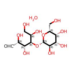 O.O=C[C@H](O)[C@@H](O)[C@H](O[C@@H]1O[C@H](CO)[C@H](O)[C@H](O)[C@H]1O)[C@H](O)CO